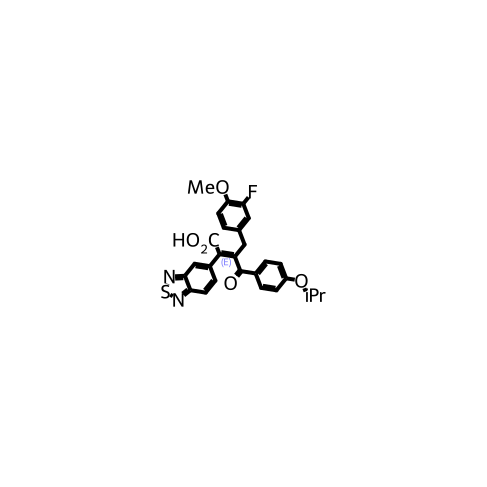 COc1ccc(C/C(C(=O)c2ccc(OC(C)C)cc2)=C(\C(=O)O)c2ccc3nsnc3c2)cc1F